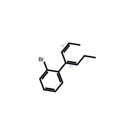 C/C=C\C(=C/CC)c1ccccc1Br